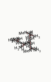 CNCCNCCN(CCNCCN)CCNCCNCCN(CCNCCNCCN(CCNC)CCNCCN)CCNCCNCCN(CCNCCN)CCNCCNCCN(CCNCCN)CCNNC